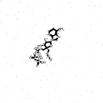 [N-]=[N+]=NC[C@]1(COP(=O)(O)OP(=O)(O)OP(=O)(O)O)O[C@@H](n2cnc3c(N)ccnc32)[C@H](F)[C@@H]1O